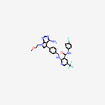 COCCn1cc(-c2ccc(CNc3ncc(C(F)(F)F)cc3C(=O)Nc3ccc(F)cc3)cc2)c2c(N)ncnc21